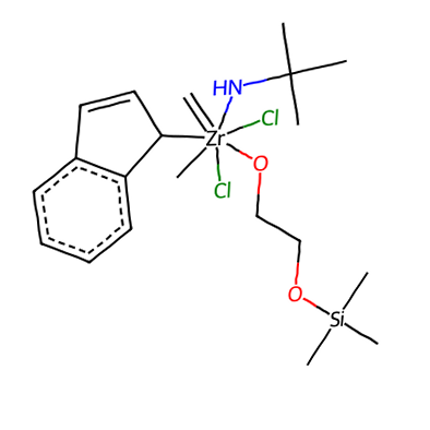 [CH2]=[Zr]([CH3])([Cl])([Cl])([NH]C(C)(C)C)([O]CCO[Si](C)(C)C)[CH]1C=Cc2ccccc21